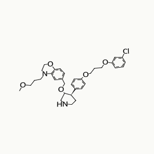 COCCCN1CCOc2ccc(CO[C@H]3CNCC[C@@H]3c3ccc(OCCCOc4cccc(Cl)c4)cc3)cc21